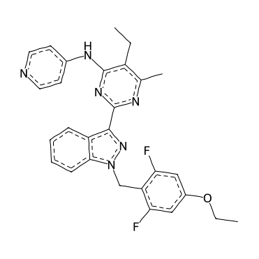 CCOc1cc(F)c(Cn2nc(-c3nc(C)c(CC)c(Nc4ccncc4)n3)c3ccccc32)c(F)c1